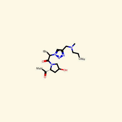 CNC(=O)[C@H]1CC(O)CN1C(=O)C(n1cc(CN(C)CCOC)nn1)C(C)(C)C